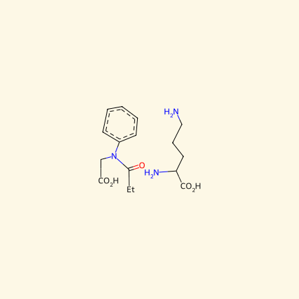 CCC(=O)N(CC(=O)O)c1ccccc1.NCCCC(N)C(=O)O